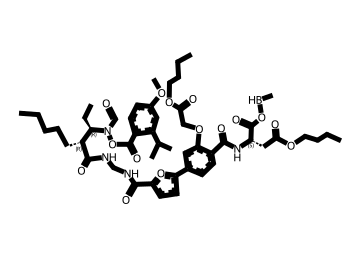 CBOC(=O)[C@H](CC(=O)OCCCC)NC(=O)c1ccc(-c2ccc(C(=O)NCNC(=O)[C@H](CCCCC)[C@@H](CC)N(C=O)OC(=O)c3ccc(OC)cc3C(C)C)o2)cc1OCC(=O)OCCCC